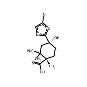 CC1(C)C[C@@](O)(c2ncc(Br)s2)CC[C@]1(C)C(=O)O